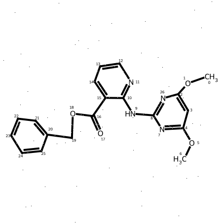 COc1cc(OC)nc(Nc2ncccc2C(=O)OCc2ccccc2)n1